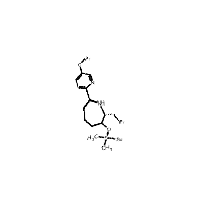 CC(C)C[C@H]1NC(c2ncc(OC(C)C)cn2)CCCC1O[Si](C)(C)C(C)(C)C